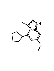 COc1cc(C2CCCC2)c2c(C)c[nH]c2c1